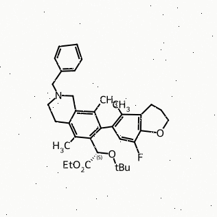 CCOC(=O)[C@@H](OC(C)(C)C)c1c(C)c2c(c(C)c1-c1cc(F)c3c(c1C)CCCO3)CN(Cc1ccccc1)CC2